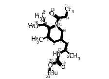 C[C@H](CC1C[C@@H](C)C([C@H](C)O)N(C(=O)CC(F)(F)F)C1)NC(=O)OC(C)(C)C